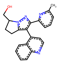 Cc1cccc(-c2nn3c(c2-c2ccnc4ccccc24)CCC3CO)n1